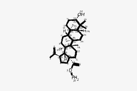 C=C(C)[C@@H]1CC[C@]2(C(=C)OP)CC[C@]3(C)[C@H](CC[C@@H]4[C@@]5(C)CC[C@H](O)C(C)(C)[C@@H]5CC[C@]43C)[C@@H]12